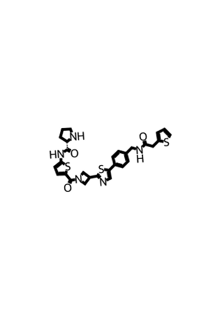 O=C(Cc1cccs1)NCc1ccc(-c2cnc(C3CN(C(=O)c4ccc(NC(=O)[C@@H]5CCCN5)s4)C3)s2)cc1